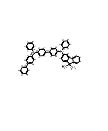 CC1(C)c2ccccc2-c2cc(N(c3ccccc3)c3ccc(-c4ccc(N(c5ccccc5)c5ccc(-c6ccccc6)cc5)cc4)cc3)ccc21